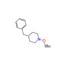 CC(C)(C)ON1CCC(Cc2ccccc2)CC1